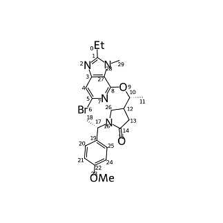 CCc1nc2cc(Br)nc(O[C@H](C)C3CC(=O)N([C@@H](C)c4ccc(OC)cc4)C3)c2n1C